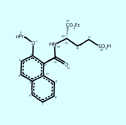 CCCOc1ccc2ccccc2c1C(=O)N[C@@H](CCS(=O)(=O)O)C(=O)OCC